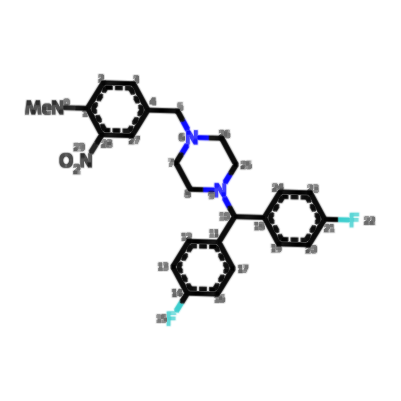 CNc1ccc(CN2CCN(C(c3ccc(F)cc3)c3ccc(F)cc3)CC2)cc1[N+](=O)[O-]